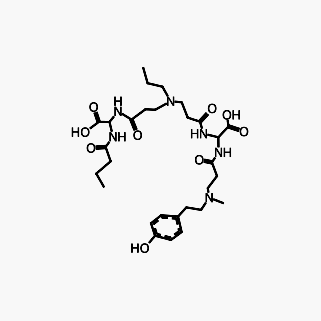 CCCC(=O)NC(NC(=O)CCN(CCC)CCC(=O)NC(NC(=O)CCN(C)CCc1ccc(O)cc1)C(=O)O)C(=O)O